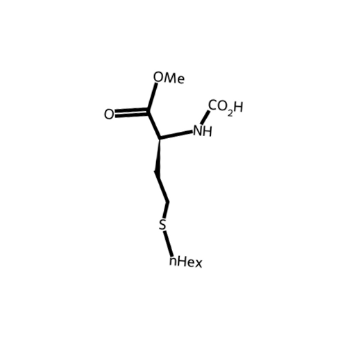 CCCCCCSCC[C@H](NC(=O)O)C(=O)OC